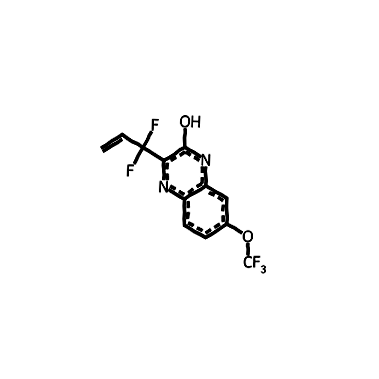 C=CC(F)(F)c1nc2ccc(OC(F)(F)F)cc2nc1O